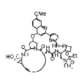 CCS(=O)(=O)N(C)C[C@@H](NC(=O)N[C@H]1CCCCC/C=C\C2C[C@@]2(C(=O)O)NC(=O)C2C[C@@H](Oc3cc(-c4csc(NC(C)C)n4)nc4cc(OC)ccc34)CN2C1=O)C1CCC1